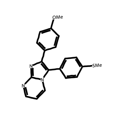 COc1ccc(-c2nc3ncccn3c2-c2ccc(SC)cc2)cc1